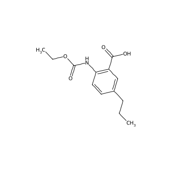 CCCc1ccc(NC(=O)OCC)c(C(=O)O)c1